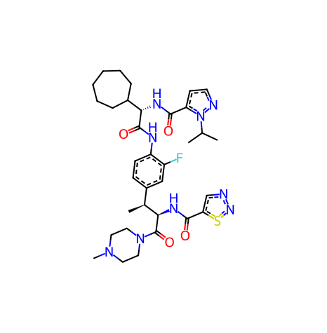 CC(C)n1nccc1C(=O)N[C@H](C(=O)Nc1ccc([C@H](C)[C@@H](NC(=O)c2cnns2)C(=O)N2CCN(C)CC2)cc1F)C1CCCCCC1